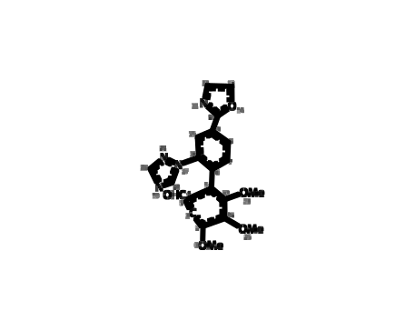 COc1cc(C=O)c(-c2ccc(-c3ncco3)cc2-n2cncn2)c(OC)c1OC